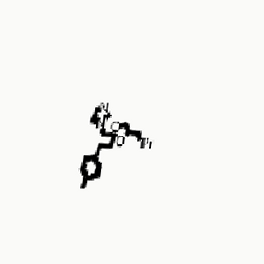 Cc1ccc(CCC2(Cn3ccnc3)OCC(CC(C)C)O2)cc1